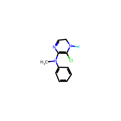 CN(C1=C(Cl)N(F)CC=N1)c1ccccc1